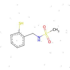 CS(=O)(=O)NCc1ccccc1S